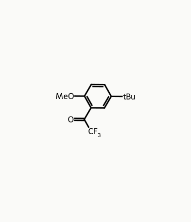 COc1ccc(C(C)(C)C)cc1C(=O)C(F)(F)F